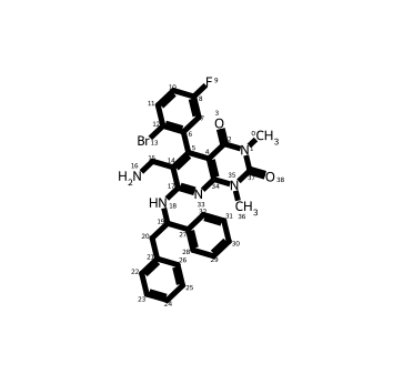 Cn1c(=O)c2c(-c3cc(F)ccc3Br)c(CN)c(NC(Cc3ccccc3)c3ccccc3)nc2n(C)c1=O